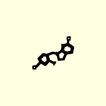 Fc1cc(Cl)ccc1CN1CCc2ccc(Cl)nc21